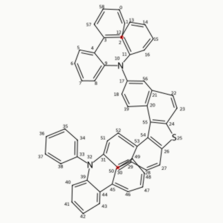 c1ccc(-c2ccccc2N(c2ccccc2)c2ccc3c(ccc4sc5ccc6cc(N(c7ccccc7)c7ccccc7-c7ccccc7)ccc6c5c43)c2)cc1